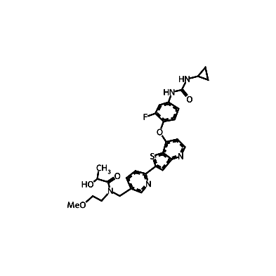 COCCN(Cc1ccc(-c2cc3nccc(Oc4ccc(NC(=O)NC5CC5)cc4F)c3s2)nc1)C(=O)C(C)O